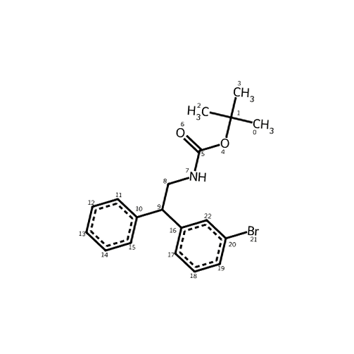 CC(C)(C)OC(=O)NCC(c1ccccc1)c1cccc(Br)c1